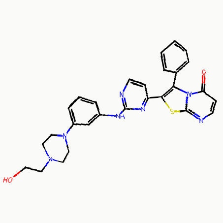 O=c1ccnc2sc(-c3ccnc(Nc4cccc(N5CCN(CCO)CC5)c4)n3)c(-c3ccccc3)n12